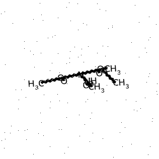 CCCCCCCCCOC(=O)CCCCCCCN(CCCCCCCC(=O)OC(CC)CCCCCCCC)CCCNC(=O)OC